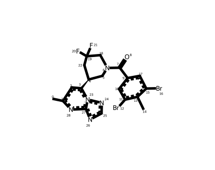 Cc1cc([C@@H]2CN(C(=O)c3cc(Br)c(C)c(Br)c3)CC(F)(F)C2)n2ncnc2n1